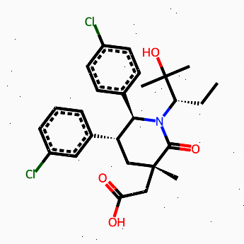 CC[C@H](N1C(=O)[C@](C)(CC(=O)O)C[C@H](c2cccc(Cl)c2)[C@H]1c1ccc(Cl)cc1)C(C)(C)O